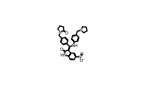 O=C1Nc2ccc([N+](=O)[O-])cc2C1=C(Nc1ccc(CN2CCCC2)cc1)c1ccc(CN2CCCC2=O)cc1